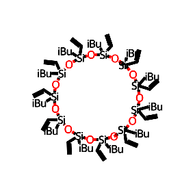 C=C[Si]1(C(C)CC)O[Si](C=C)(C(C)CC)O[Si](C=C)(C(C)CC)O[Si](C=C)(C(C)CC)O[Si](C=C)(C(C)CC)O[Si](C=C)(C(C)CC)O[Si](C=C)(C(C)CC)O[Si](C=C)(C(C)CC)O[Si](C=C)(C(C)CC)O[Si](C=C)(C(C)CC)O[Si](C=C)(C(C)CC)O1